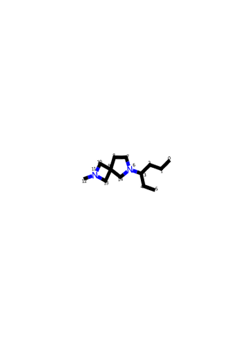 CCCC(CC)N1CCC2(CN(C)C2)C1